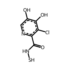 O=C(NS)c1ncc(O)c(O)c1Cl